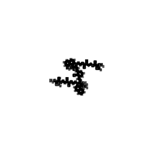 C=C(C)C(=O)OCCNC(=O)OCCN1/C(=C/C=C2\CCCC(/C=C/C3=[N+](CCOC(=O)NCCOC(=O)C(=C)C)c4ccc5ccccc5c4C3(C)C)=C2Cl)C(C)(C)c2c1ccc1ccccc21